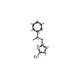 CCc1nnc(CC(C)c2ccccc2)o1